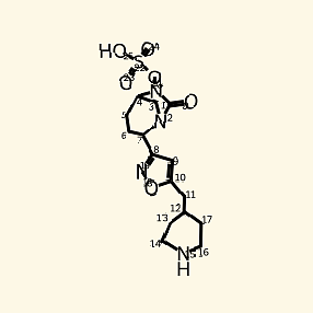 O=C1N2CC(CCC2c2cc(CC3CCNCC3)on2)N1OS(=O)(=O)O